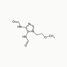 COCCn1cnc(NC=O)c1NC=O